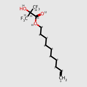 C=CCCCCCCCCOC(=O)C(O)(C(F)(F)F)C(F)(F)F